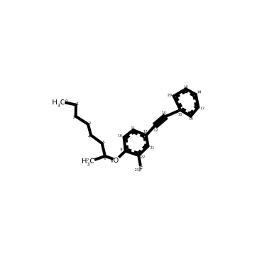 CCCCCCC(C)Oc1ccc(C#Cc2ccccc2)cc1F